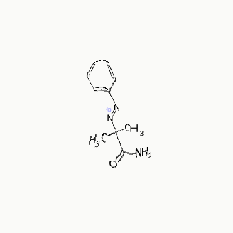 CC(C)(/N=N/c1ccccc1)C(N)=O